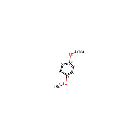 CCCCOc1ccc(OC(C)(C)C)cc1